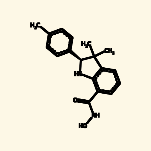 Cc1ccc([C@@H]2Nc3c(C(=O)NO)cccc3C2(C)C)cc1